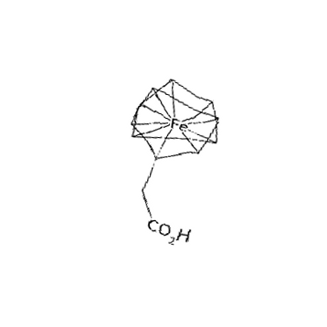 O=C(O)C[C]12[CH]3[CH]4[CH]5[CH]1[Fe]45321678[CH]2[CH]1[CH]6[CH]7[CH]28